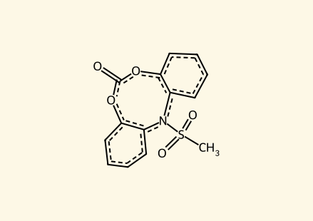 CS(=O)(=O)n1c2ccccc2oc(=O)oc2ccccc21